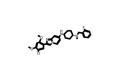 COc1cc(OC)c(-c2cn3ccc(N[C@H]4CC[C@@H](N(C)Cc5ccccc5F)CC4)cc3n2)cc1Cl